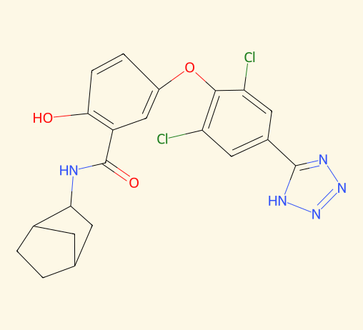 O=C(NC1CC2CCC1C2)c1cc(Oc2c(Cl)cc(-c3nnn[nH]3)cc2Cl)ccc1O